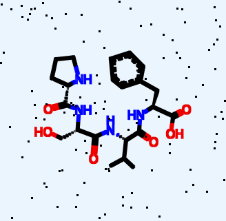 CC(C)[C@H](NC(=O)[C@H](CO)NC(=O)[C@@H]1CCCN1)C(=O)N[C@@H](Cc1ccccc1)C(=O)O